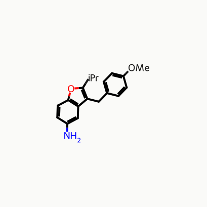 COc1ccc(Cc2c(C(C)C)oc3ccc(N)cc23)cc1